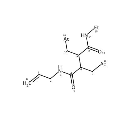 C=CCNC(=O)C(CC(C)=O)C(CC(C)=O)C(=O)NCC